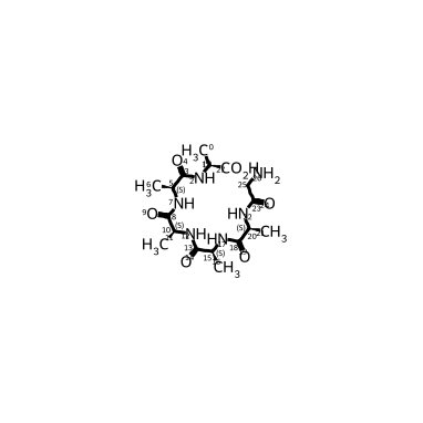 C[C@H](NC(=O)[C@H](C)NC(=O)[C@H](C)NC(=O)[C@H](C)NC(=O)[C@H](C)NC(=O)CN)C(=O)O